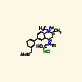 CCN(C(=O)O)[C@@H]1C[C@H](C)[N+](C)(C(C)=O)c2ccc(-c3cccc(CNC)c3)cc21.Cl